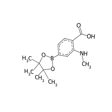 CNc1cc(B2OC(C)(C)C(C)(C)O2)ccc1C(=O)O